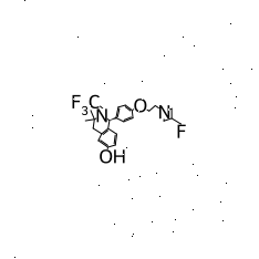 CC1(C)Cc2cc(O)ccc2[C@H](c2ccc(OCCN3CC(CF)C3)cc2)N1CC(F)(F)F